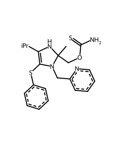 CC(C)C1=C(Sc2ccccc2)N(Cc2ccccn2)C(C)(COC(N)=S)N1